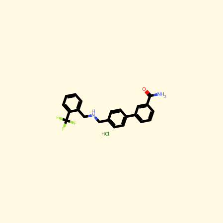 Cl.NC(=O)c1cccc(-c2ccc(CNCc3ccccc3C(F)(F)F)cc2)c1